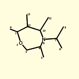 CC1OCC(C)N(C(C)C)C(C)C1C